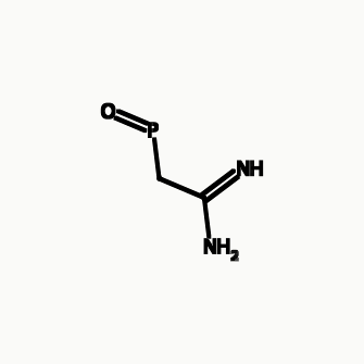 N=C(N)CP=O